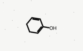 OC1=CCCC=C1